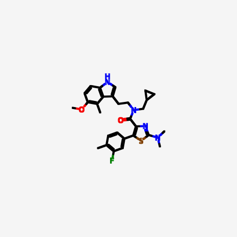 COc1ccc2[nH]cc(CCN(CC3CC3)C(=O)c3nc(N(C)C)sc3-c3ccc(C)c(F)c3)c2c1C